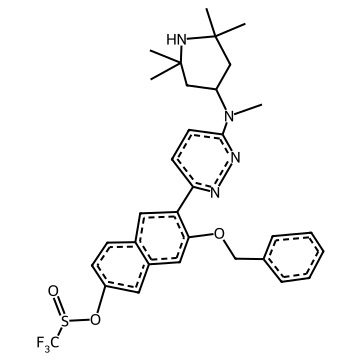 CN(c1ccc(-c2cc3ccc(OS(=O)C(F)(F)F)cc3cc2OCc2ccccc2)nn1)C1CC(C)(C)NC(C)(C)C1